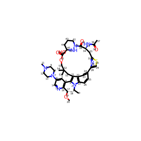 CCn1c(-c2cc(N3CCN(C)CC3)cnc2[C@H](C)OC)c2c3cc(ccc31)-c1csc(n1)C[C@H](NC(C)=O)C(=O)N1CCC[C@@](O)(N1)C(=O)OCC(C)(C)C2